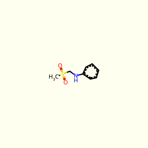 CS(=O)(=O)CNc1ccccc1